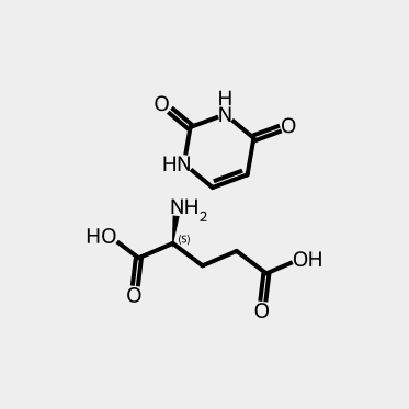 N[C@@H](CCC(=O)O)C(=O)O.O=c1cc[nH]c(=O)[nH]1